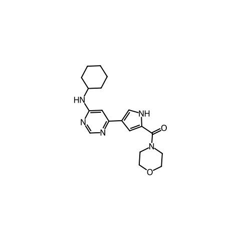 O=C(c1cc(-c2cc(NC3CCCCC3)ncn2)c[nH]1)N1CCOCC1